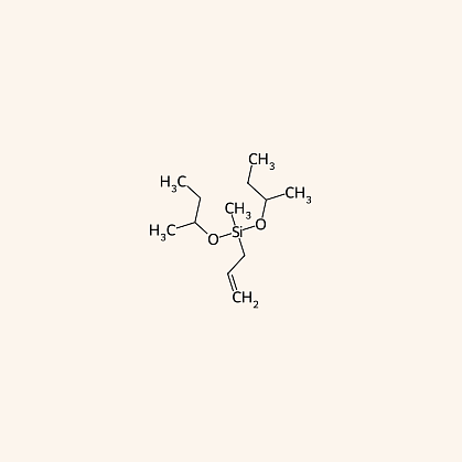 C=CC[Si](C)(OC(C)CC)OC(C)CC